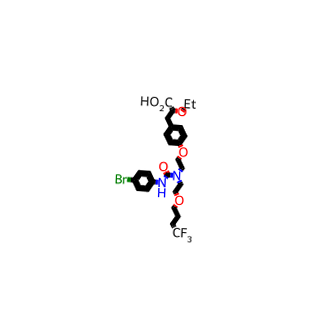 CCOC(Cc1ccc(OCCN(CCOCCCC(F)(F)F)C(=O)Nc2ccc(Br)cc2)cc1)C(=O)O